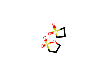 O=S1(=O)CCC1.O=S1(=O)CCCO1